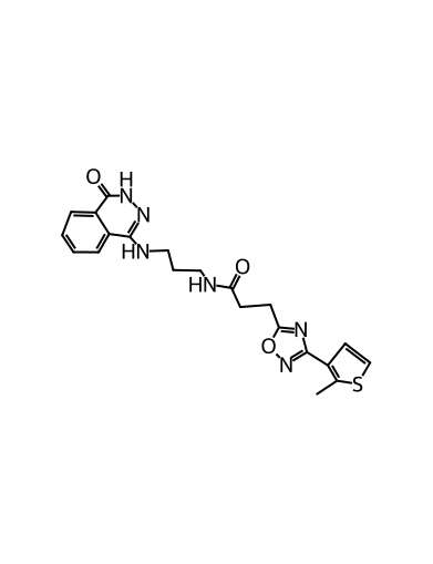 Cc1sccc1-c1noc(CCC(=O)NCCCNc2n[nH]c(=O)c3ccccc23)n1